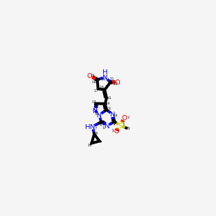 CS(=O)(=O)c1nc(NC2CC2)n2ncc(/C=C3\CC(=O)NC3=O)c2n1